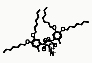 CCCCCCCOc1cc(C)c(S(=O)(=O)C(=[N+]=[N-])S(=O)(=O)c2cc(OCCCCCCC)c(OCCCCCCC)cc2C)cc1OCCCCCCC